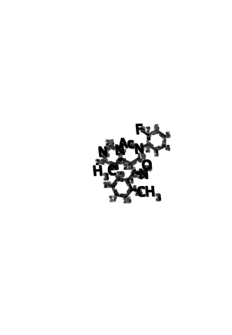 CC(=O)N(c1ccccc1F)c1onc(-c2c(C)cccc2C)c1-c1ccncn1